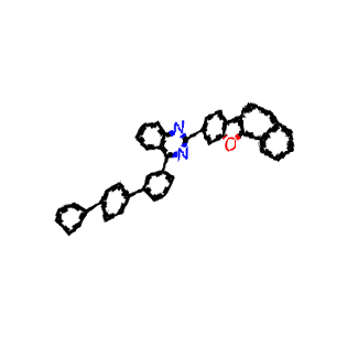 c1ccc(-c2ccc(-c3cccc(-c4nc(-c5ccc6c(c5)oc5c7ccccc7ccc65)nc5ccccc45)c3)cc2)cc1